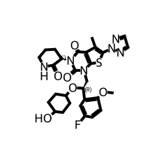 COc1ccc(F)cc1[C@H](Cn1c(=O)n([C@H]2CCCNC2=O)c(=O)c2c(C)c(-n3nccn3)sc21)OC1CCC(O)CC1